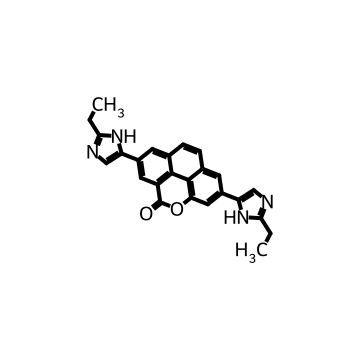 CCc1ncc(-c2cc3ccc4cc(-c5cnc(CC)[nH]5)cc5c(=O)oc(c2)c3c45)[nH]1